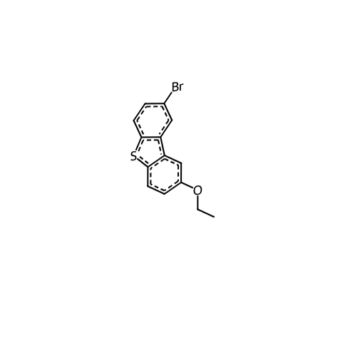 CCOc1ccc2sc3ccc(Br)cc3c2c1